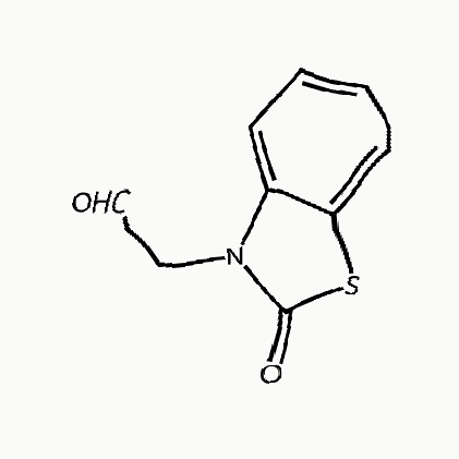 O=CCn1c(=O)sc2ccccc21